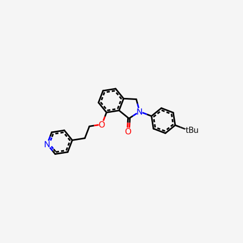 CC(C)(C)c1ccc(N2Cc3cccc(OCCc4ccncc4)c3C2=O)cc1